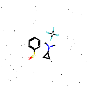 CN(C)C1CC1.F[B-](F)(F)F.O=[S+]c1ccccc1